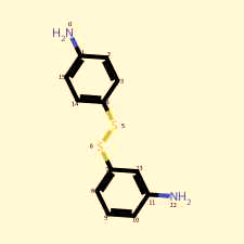 Nc1ccc(SSc2cccc(N)c2)cc1